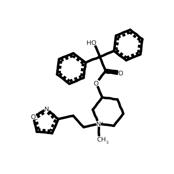 C[N+]1(CCc2ccon2)CCCC(OC(=O)C(O)(c2ccccc2)c2ccccc2)C1